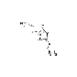 C=CCC1=NC(CCN)CN1